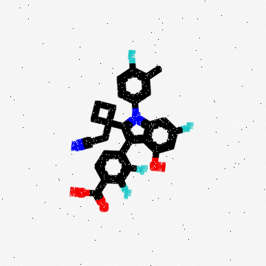 Cc1cc(-n2c(C3(CC#N)CCC3)c(-c3ccc(C(=O)O)c(F)c3F)c3c(O)cc(F)cc32)ccc1F